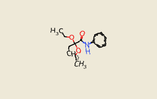 CCOC(CC)(OCC)C(=O)Nc1ccccc1